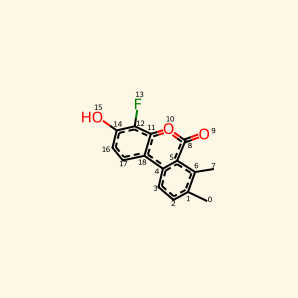 Cc1ccc2c(c1C)c(=O)oc1c(F)c(O)ccc12